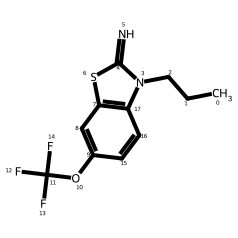 CCCn1c(=N)sc2cc(OC(F)(F)F)ccc21